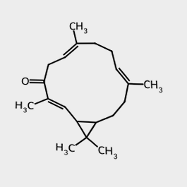 C/C1=C\CC(=O)/C(C)=C/C2C(CC/C(C)=C/CC1)C2(C)C